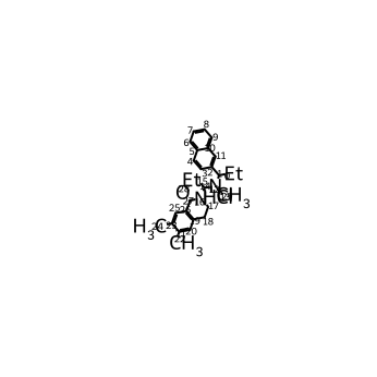 CCC(c1ccc2ccccc2c1)N(C)C(CC)N1CCc2cc(C)c(C)cc2C1=O.Cl